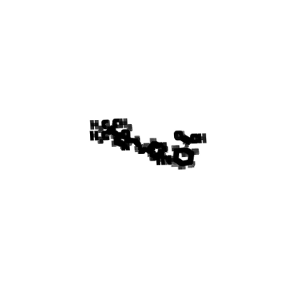 CC(C)(C)c1cnc(CSc2cnc(N[C@H]3CCC[C@@H](C(=O)O)C3)s2)o1